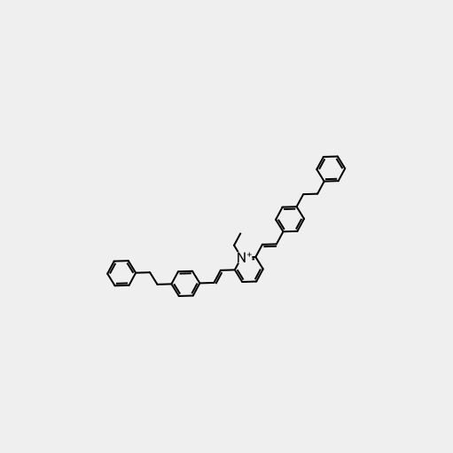 CC[n+]1c(/C=C/c2ccc(CCc3ccccc3)cc2)cccc1/C=C/c1ccc(CCc2ccccc2)cc1